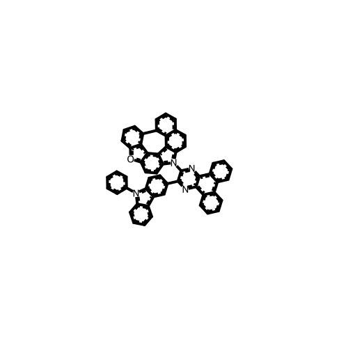 c1ccc(-n2c3ccccc3c3cc(-c4nc5c6ccccc6c6ccccc6c5nc4-n4c5ccc6cccc7c6c5c5c6c(ccc54)oc4cccc-7c46)ccc32)cc1